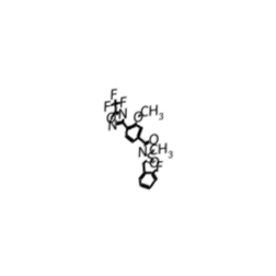 COc1cc(C(=O)N=S(C)(=O)Cc2ccccc2F)ccc1-c1noc(C(F)(F)F)n1